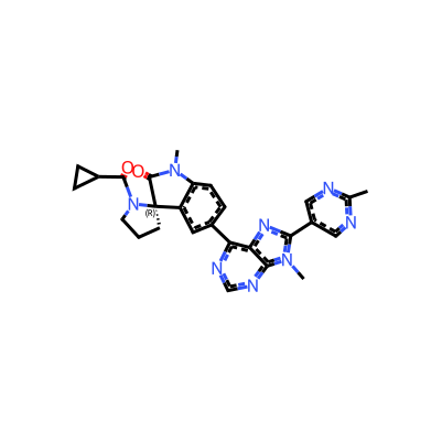 Cc1ncc(-c2nc3c(-c4ccc5c(c4)[C@]4(CCCN4C(=O)C4CC4)C(=O)N5C)ncnc3n2C)cn1